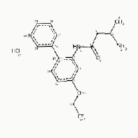 CC(N)CC(=O)Nc1cc(OCC(F)(F)F)ccc1-c1cccnc1.Cl